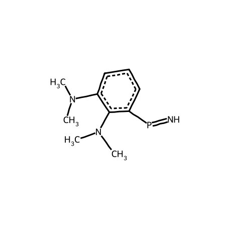 CN(C)c1cccc(P=N)c1N(C)C